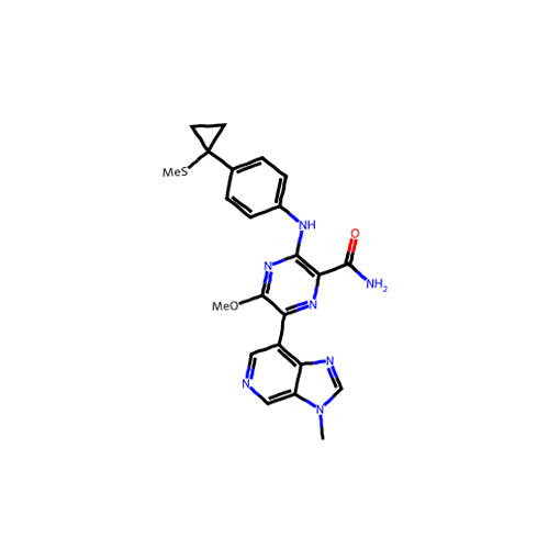 COc1nc(Nc2ccc(C3(SC)CC3)cc2)c(C(N)=O)nc1-c1cncc2c1ncn2C